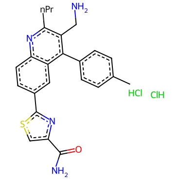 CCCc1nc2ccc(-c3nc(C(N)=O)cs3)cc2c(-c2ccc(C)cc2)c1CN.Cl.Cl